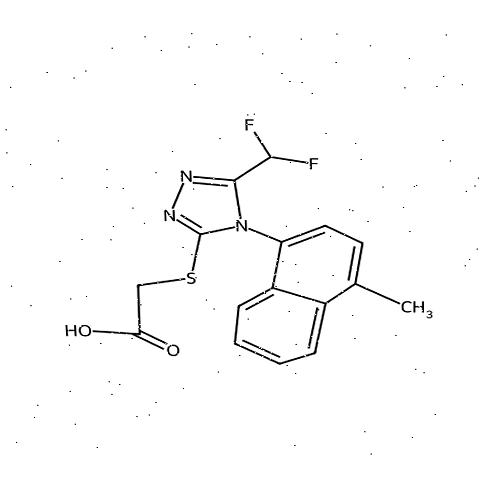 Cc1ccc(-n2c(SCC(=O)O)nnc2C(F)F)c2ccccc12